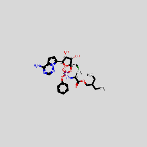 CCC(CC)COC(=O)[C@H](C)N[P@@](=O)(Oc1ccccc1)O[C@@]1(CF)O[C@@H](c2ccc3c(N)ncnn23)[C@H](O)[C@@H]1O